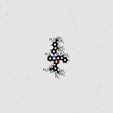 Cc1cccc(-c2cccc3c2oc2c(C(C)(C)C)cc(C(C)(C)C)cc23)c1N(c1ccc2c(c1)C(C)(C)c1ccccc1-2)c1ccc2c(c1)C(C)(C)c1cc(C(C)(C)C)ccc1-2